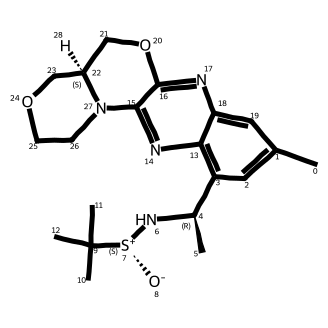 Cc1cc([C@@H](C)N[S@+]([O-])C(C)(C)C)c2nc3c(nc2c1)OC[C@@H]1COCCN31